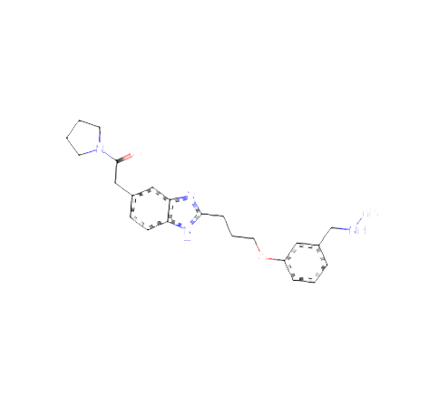 CCCNCc1cccc(OCCCc2nc3cc(CC(=O)N4CCCC4)ccc3[nH]2)c1